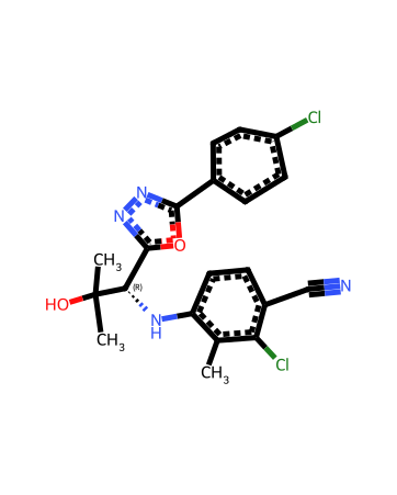 Cc1c(N[C@@H](c2nnc(-c3ccc(Cl)cc3)o2)C(C)(C)O)ccc(C#N)c1Cl